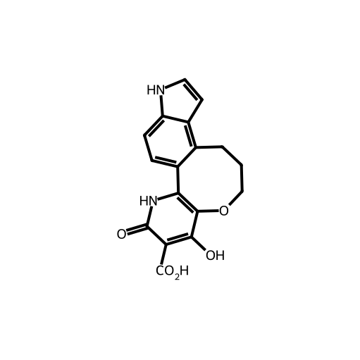 O=C(O)c1c(O)c2c([nH]c1=O)-c1ccc3[nH]ccc3c1CCCO2